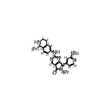 CC(C)C1NCCc2cc(Nc3ncc4c(=O)n(C(C)C)n(-c5ccnc(C(C)(C)C)c5)c4n3)ccc21